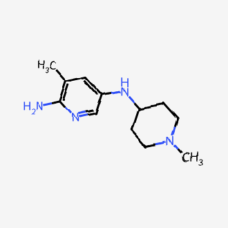 Cc1cc(NC2CCN(C)CC2)cnc1N